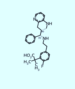 CC(C)(C(=O)O)c1cc(CCN[C@H](c2ccccc2)[C@H]2CNc3cccnc3C2)ccc1F